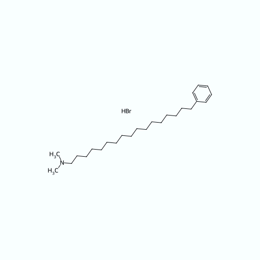 Br.CN(C)CCCCCCCCCCCCCCCCCc1ccccc1